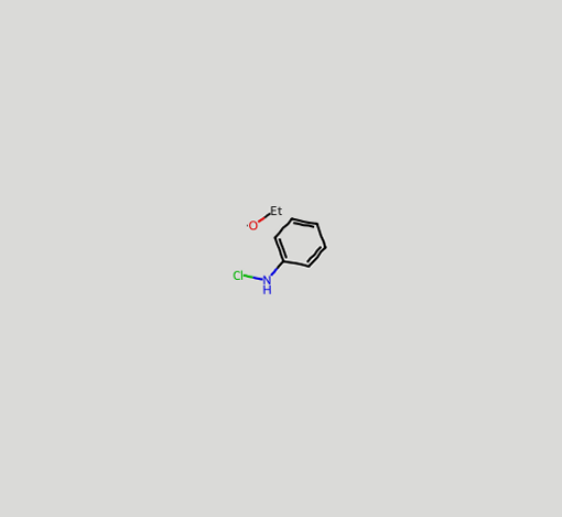 CC[O].ClNc1ccccc1